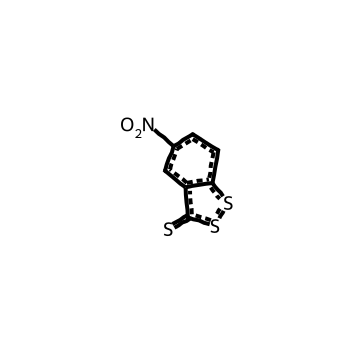 O=[N+]([O-])c1ccc2ssc(=S)c2c1